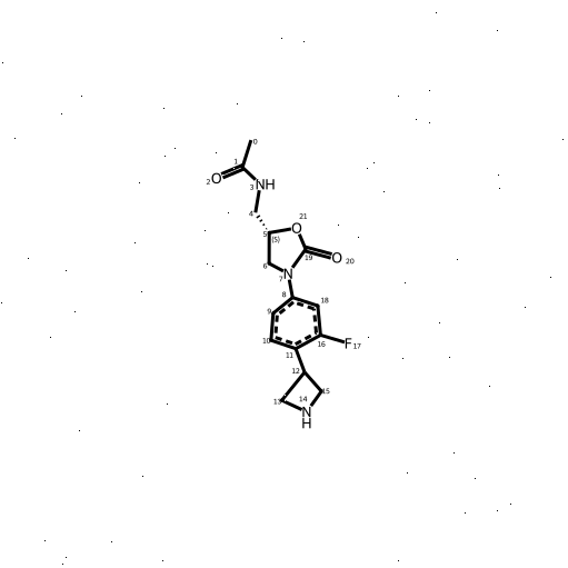 CC(=O)NC[C@H]1CN(c2ccc(C3CNC3)c(F)c2)C(=O)O1